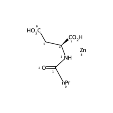 CCCC(=O)N[C@@H](CC(=O)O)C(=O)O.[Zn]